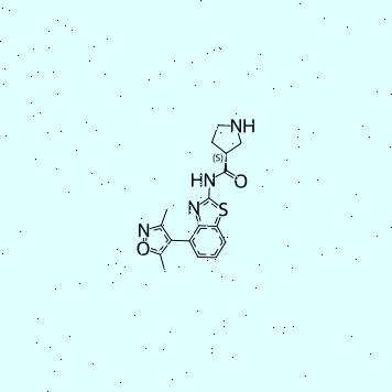 Cc1noc(C)c1-c1cccc2sc(NC(=O)[C@H]3CCNC3)nc12